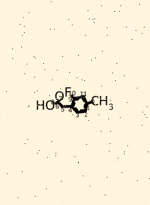 Cc1ccc(CC(=O)O)c(F)c1